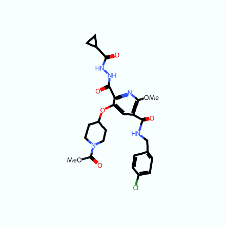 COC(=O)N1CCC(Oc2cc(C(=O)NCc3ccc(Cl)cc3)c(OC)nc2C(=O)NNC(=O)C2CC2)CC1